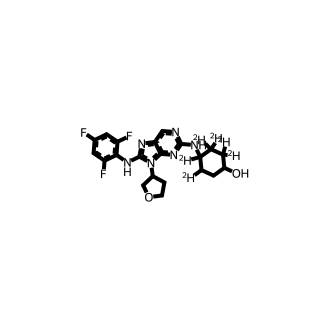 [2H]C1CC(O)C([2H])([2H])C([2H])([2H])C1([2H])Nc1ncc2nc(Nc3c(F)cc(F)cc3F)n(C3CCOC3)c2n1